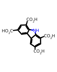 O=C(O)c1cc(C(=O)O)c2[nH]c3c(C(=O)O)cc(C(=O)O)cc3c2c1